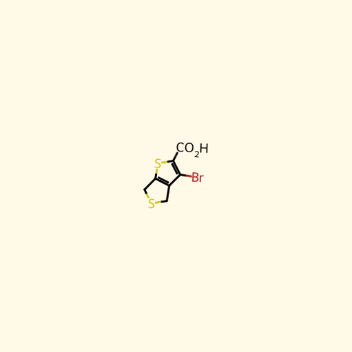 O=C(O)c1sc2c(c1Br)CSC2